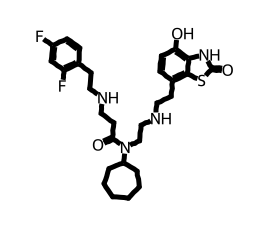 O=C(CCNCCc1ccc(F)cc1F)N(CCNCCc1ccc(O)c2[nH]c(=O)sc12)C1CCCCCC1